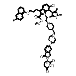 Cc1nn(C)c(C)c1-c1c(Cl)ccc2c(CCCOc3cccc4cc(F)ccc34)c(C(=O)OC(C)(C)C)n(CCN3CCC(CN4CCN(c5ccc6c(c5)CN([C@H]5CCC(=O)NC5=O)C6=O)CC4)CC3)c12